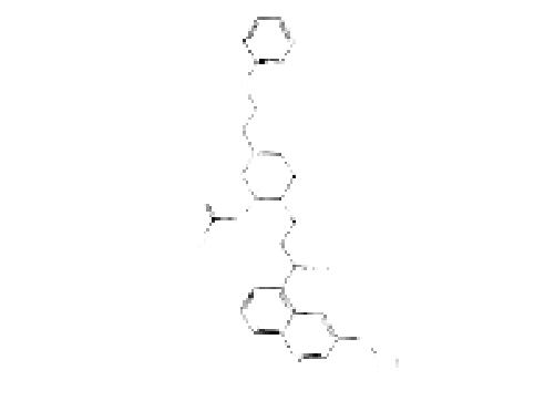 COc1cnc2cccc(C(O)CC[C@@H]3CCN(CCSc4ccccc4)C[C@@H]3OC(=O)O)c2c1